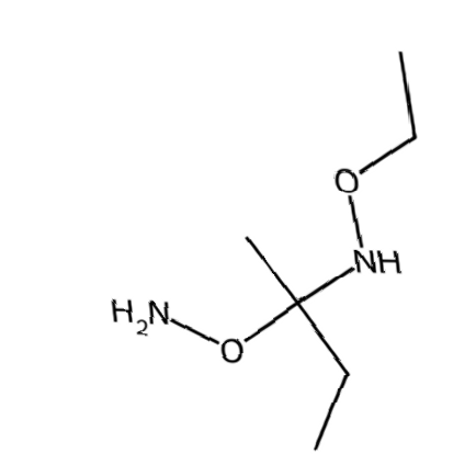 CCONC(C)(CC)ON